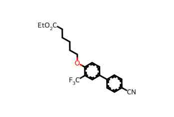 CCOC(=O)CCCCCOc1ccc(-c2ccc(C#N)cc2)cc1C(F)(F)F